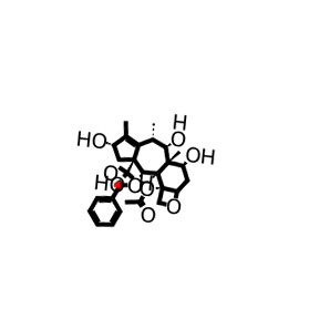 CC(=O)O[C@@]12COC1C[C@H](O)[C@@]1(C)[C@@H](O)[C@@H](C)C3=C(C)[C@@H](O)C[C@@]3(C(C)(C)O)[C@@H](OC(=O)c3ccccc3)[C@@H]12